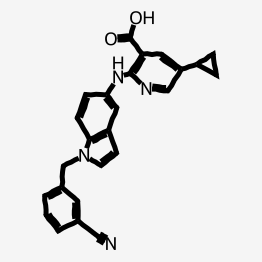 N#Cc1cccc(Cn2ccc3cc(Nc4ncc(C5CC5)cc4C(=O)O)ccc32)c1